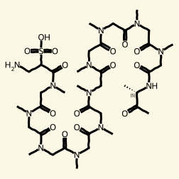 CC(=O)[C@H](C)NC(=O)CN(C)C(=O)CN(C)C(=O)CN(C)C(=O)CN(C)C(=O)CN(C)C(=O)CN(C)C(=O)CN(C)C(=O)CN(C)C(=O)CN(C)C(=O)CN(C)C(=O)C(CN)S(=O)(=O)O